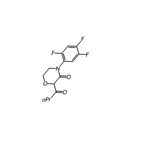 CCCC(=O)C1OCCN(c2cc(F)c(F)cc2F)C1=O